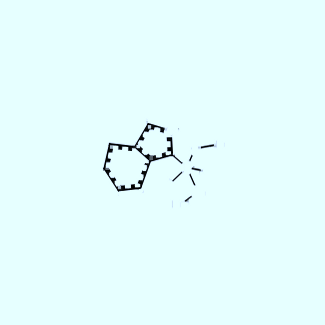 CCOP(C)(O)(OCC)c1occ2ccccc12